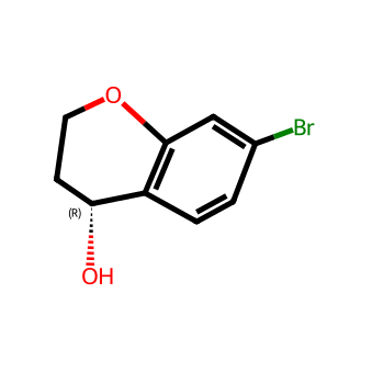 O[C@@H]1CCOc2cc(Br)ccc21